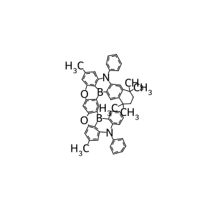 Cc1cc2c3c(c1)N(c1ccccc1)c1ccccc1B3c1cc3c(cc1O2)Oc1cc(C)cc2c1B3c1cc3c(cc1N2c1ccccc1)C(C)(C)CCC3(C)C